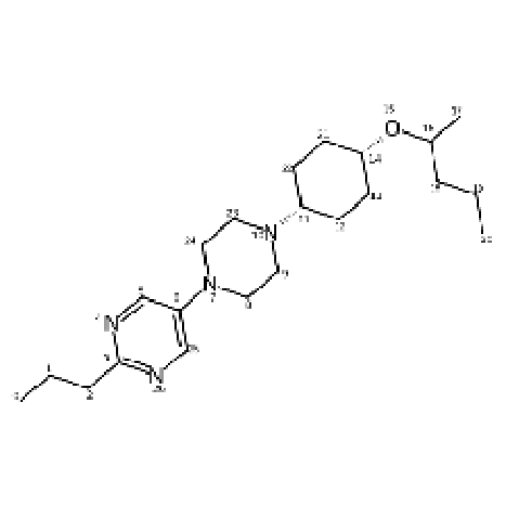 CCCc1ncc(N2CCN([C@H]3CC[C@@H](OC(C)CCC)CC3)CC2)cn1